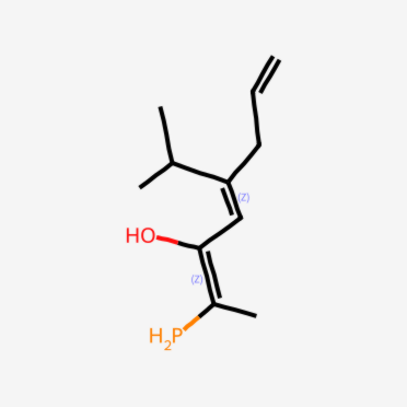 C=CC/C(=C/C(O)=C(\C)P)C(C)C